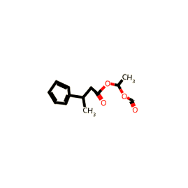 CC(O[C]=O)OC(=O)CC(C)c1ccccc1